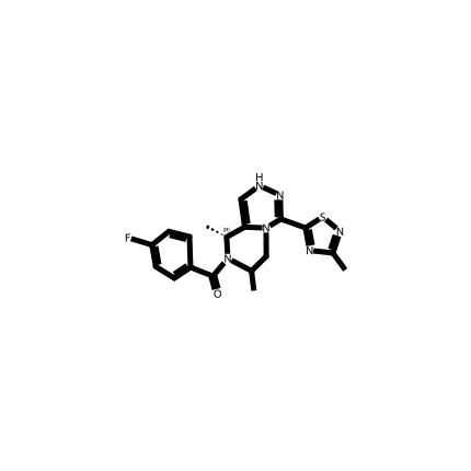 Cc1nsc(C2=NNC=C3[C@@H](C)N(C(=O)c4ccc(F)cc4)C(C)CN32)n1